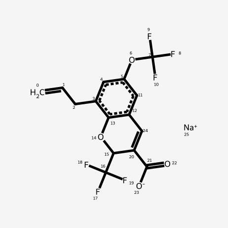 C=CCc1cc(OC(F)(F)F)cc2c1OC(C(F)(F)F)C(C(=O)[O-])=C2.[Na+]